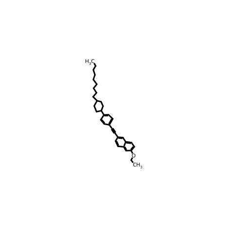 CCCCCCCCCC1CCC(c2ccc(C#Cc3ccc4cc(OCC)ccc4c3)cc2)CC1